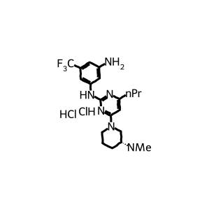 CCCc1cc(N2CCC[C@@H](NC)C2)nc(Nc2cc(N)cc(C(F)(F)F)c2)n1.Cl.Cl